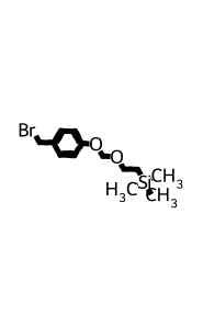 C[Si](C)(C)CCOCOc1ccc(CBr)cc1